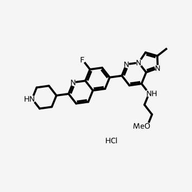 COCCNc1cc(-c2cc(F)c3nc(C4CCNCC4)ccc3c2)nn2cc(C)nc12.Cl